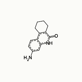 Nc1ccc2c3c(c(=O)[nH]c2c1)CCCC3